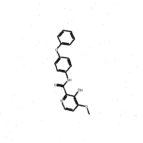 COc1ccnc(C(=O)Nc2ccc(Oc3ccccc3)cc2)c1O